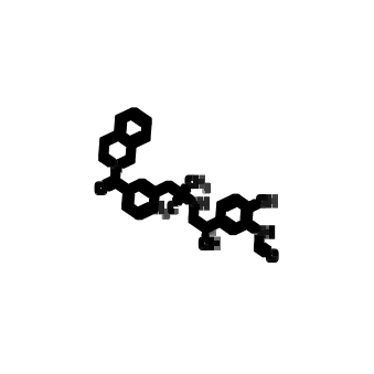 CC(C)(Cc1cccc(C(=O)N2CCc3ccccc3C2)c1)NC[C@H](O)c1ccc(O)c(NC=O)c1